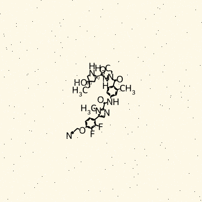 CCN(NC(=O)[C@H]1C[C@](O)(CC)CN1)C(=O)c1ccc(NC(=O)c2ncc(-c3ccc(OCC#N)c(F)c3F)n2C)cc1C